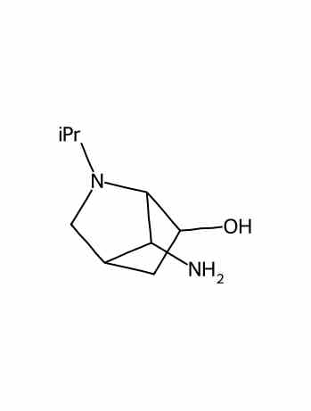 CC(C)N1CC2CC(O)C1C2N